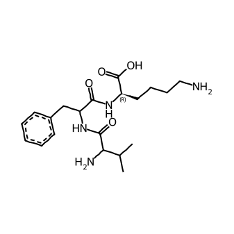 CC(C)C(N)C(=O)NC(Cc1ccccc1)C(=O)N[C@H](CCCCN)C(=O)O